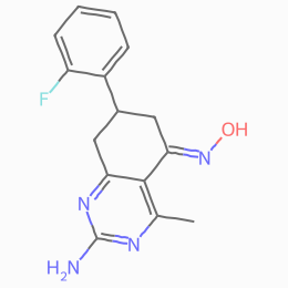 Cc1nc(N)nc2c1C(=NO)CC(c1ccccc1F)C2